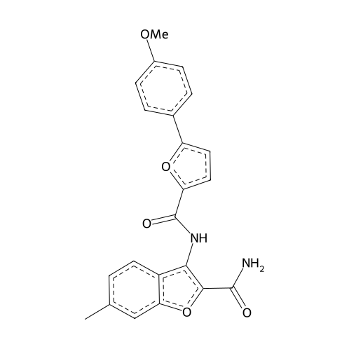 COc1ccc(-c2ccc(C(=O)Nc3c(C(N)=O)oc4cc(C)ccc34)o2)cc1